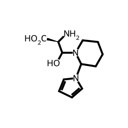 N[C@H](C(=O)O)C(O)N1CCCCC1n1cccc1